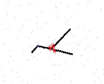 CCCCCCCC/C=C\CCCCCCCCCC(=O)O[C@H](COC(=O)CCCCCCCCCCCCCCCC)COC(=O)CCCCCCCCCCCCCCCCCCCCC